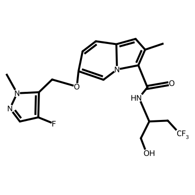 Cc1cc2ccc(OCc3c(F)cnn3C)cn2c1C(=O)NC(CO)CC(F)(F)F